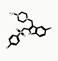 CN1CCN(Cc2c(CS(=O)(=O)c3ccc(Cl)cc3)[nH]c3ccc(Br)cc23)CC1